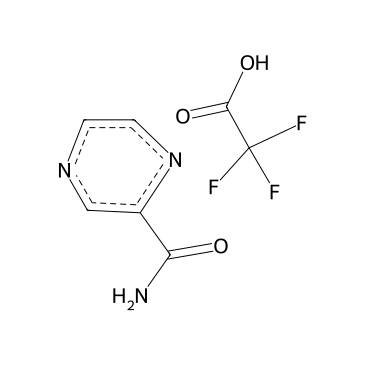 NC(=O)c1cnccn1.O=C(O)C(F)(F)F